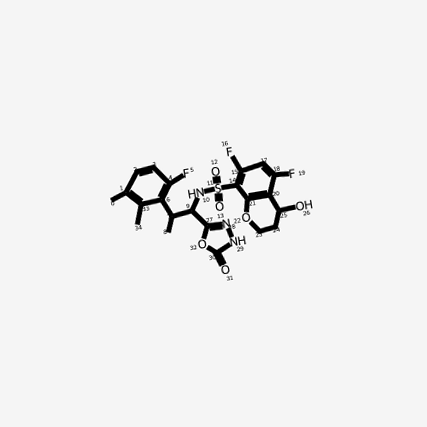 Cc1ccc(F)c(C(C)C(NS(=O)(=O)c2c(F)cc(F)c3c2OCCC3O)c2n[nH]c(=O)o2)c1C